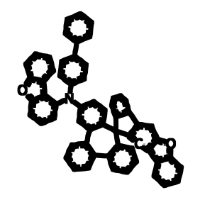 c1ccc(-c2ccc(N(c3ccc4c(c3)-c3ccccc3-c3ccccc3C43c4ccccc4-c4cc5oc6ccccc6c5cc43)c3cccc4oc5ccccc5c34)cc2)cc1